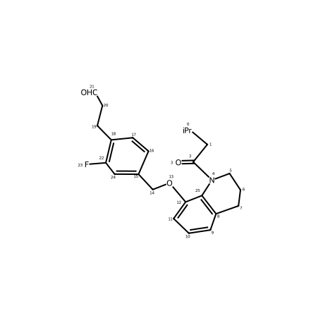 CC(C)CC(=O)N1CCCc2cccc(OCc3ccc(CCC=O)c(F)c3)c21